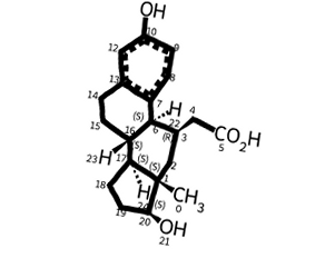 C[C@]12C[C@H](CC(=O)O)[C@@H]3c4ccc(O)cc4CC[C@H]3[C@@H]1CC[C@@H]2O